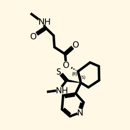 CNC(=O)CCC(=O)O[C@@H]1CCCC[C@]1(C(=S)NC)c1cccnc1